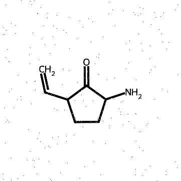 C=CC1CCC(N)C1=O